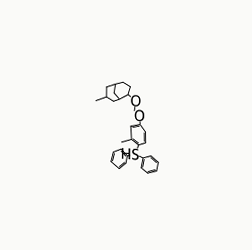 Cc1cc(OCOC2CCC3CC(C)CC2C3)ccc1[SH](c1ccccc1)c1ccccc1